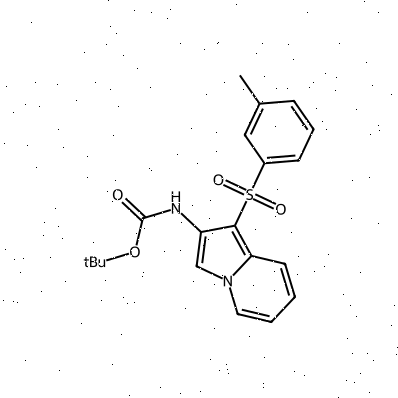 Cc1cccc(S(=O)(=O)c2c(NC(=O)OC(C)(C)C)cn3ccccc23)c1